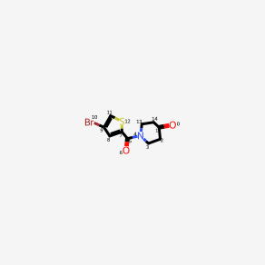 O=C1CCN(C(=O)c2cc(Br)cs2)CC1